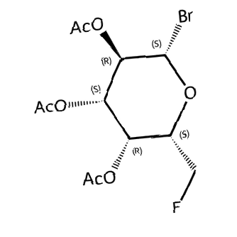 CC(=O)O[C@@H]1[C@@H](OC(C)=O)[C@H](Br)O[C@H](CF)[C@@H]1OC(C)=O